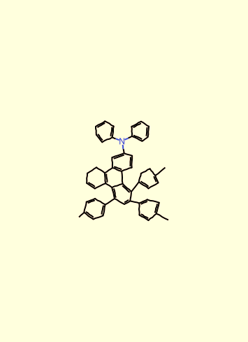 CC1=CC=C(c2c(-c3ccc(C)cc3)cc(-c3ccc(C)cc3)c3c4c(c5cc(N(c6ccccc6)c6ccccc6)ccc5c23)CCC=C4)CC1